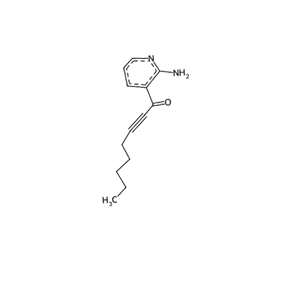 CCCCCC#CC(=O)c1cccnc1N